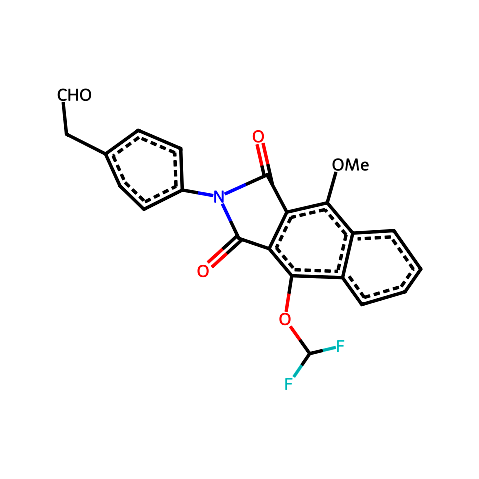 COc1c2c(c(OC(F)F)c3ccccc13)C(=O)N(c1ccc(CC=O)cc1)C2=O